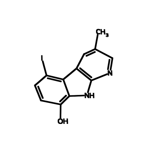 Cc1cnc2[nH]c3c(O)ccc(I)c3c2c1